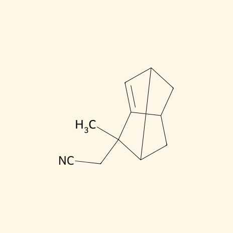 CC1(CC#N)C2=CC3CC2CC31